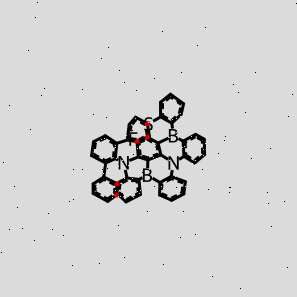 Fc1c2c3c4c5c1N(c1c(-c6ccccc6)cccc1-c1ccccc1)c1ccccc1B5c1ccccc1N4c1ccccc1B3c1ccccc1S2